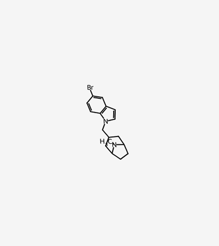 CN1C2CCC1CC(Cn1ccc3cc(Br)ccc31)C2